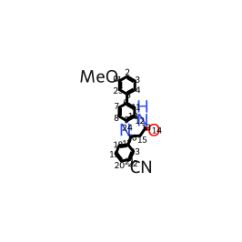 COc1cccc(-c2ccc3c(c2)NC(=O)CC(c2cccc(C#N)c2)=N3)c1